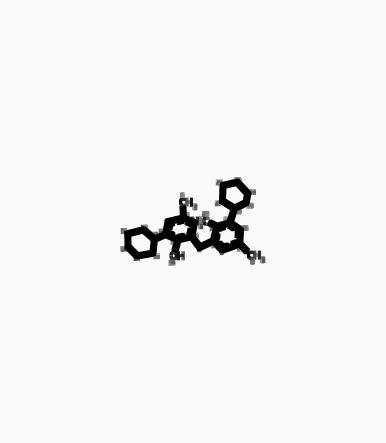 Cc1cc(Cc2cc(C)cc(C3CCCCC3)c2O)c(C)c(C2CCCCC2)c1